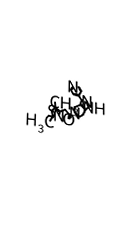 Cc1nc(CC(=O)N2CCc3[nH]nc(-c4ccncc4)c3C2)c(C)s1